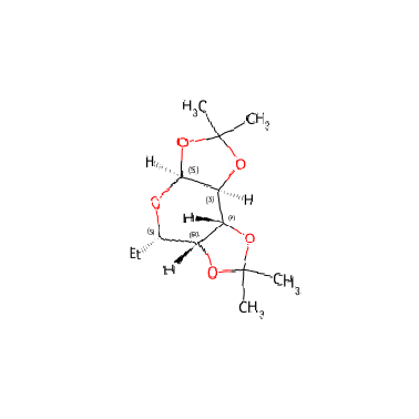 CC[C@@H]1O[C@H]2OC(C)(C)O[C@H]2[C@@H]2OC(C)(C)O[C@@H]21